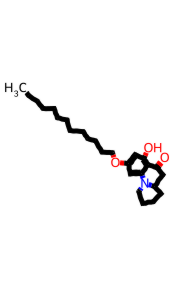 CCCCCCCCCCCCCOc1cc(O)c2c(c1)N1CCCCC1CC2=O